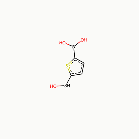 OBc1ccc(B(O)O)s1